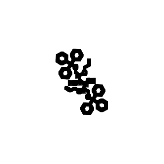 C=CCO[C@H](COC(c1ccccc1)(c1ccccc1)c1ccccc1)[C@@H](O)[C@H](O)[C@@H](COC(c1ccccc1)(c1ccccc1)c1ccccc1)OCC=C